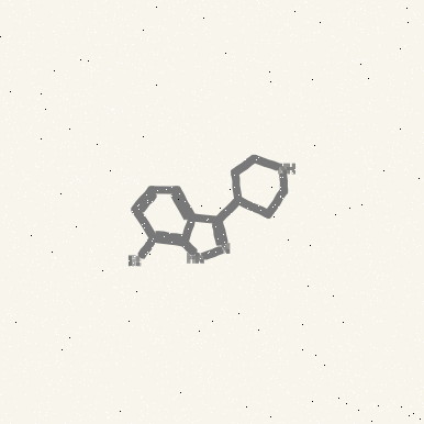 CCc1cccc2c(C3CCNCC3)n[nH]c12